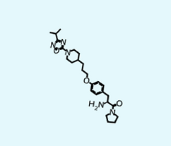 CC(C)c1noc(N2CCC(CCCOc3ccc(C[C@H](N)C(=O)N4CCCC4)cc3)CC2)n1